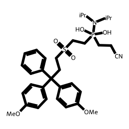 COc1ccc(C(CCS(=O)(=O)CCP(O)(O)(CCC#N)N(C(C)C)C(C)C)(c2ccccc2)c2ccc(OC)cc2)cc1